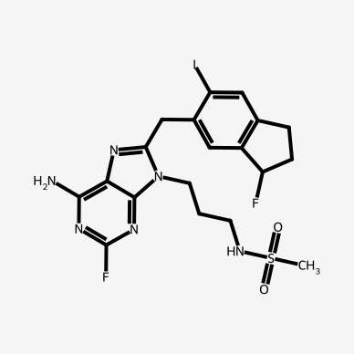 CS(=O)(=O)NCCCn1c(Cc2cc3c(cc2I)CCC3F)nc2c(N)nc(F)nc21